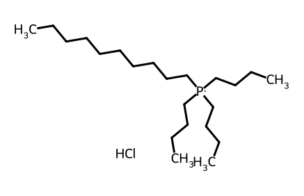 CCCCCCCCCC[P](CCCC)(CCCC)CCCC.Cl